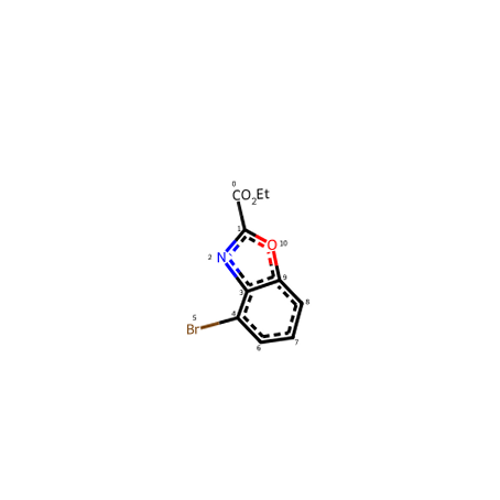 CCOC(=O)c1nc2c(Br)cccc2o1